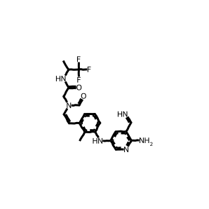 Cc1c(/C=C\N(C=O)CC(=O)NC(C)C(F)(F)F)cccc1Nc1cnc(N)c(C=N)c1